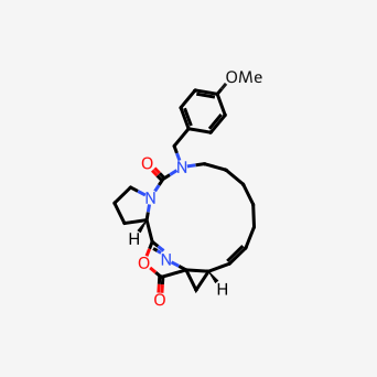 COc1ccc(CN2CCCCC/C=C\[C@@H]3CC34N=C(OC4=O)[C@@H]3CCCN3C2=O)cc1